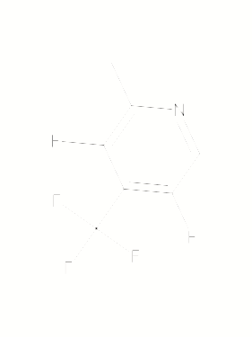 Cc1ncc(F)c(C(F)(F)F)c1F